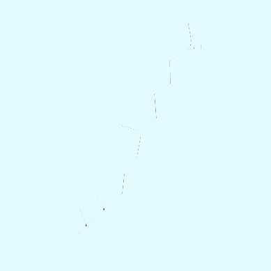 CNCCCC[S+]([O-])CCCC(F)(F)C(F)(F)F